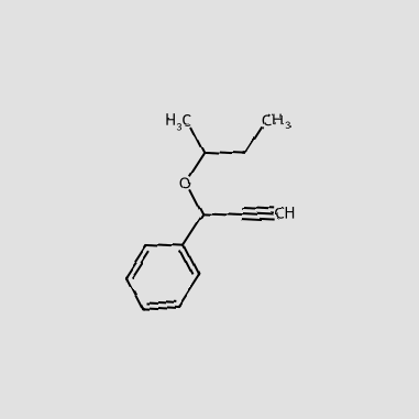 C#CC(OC(C)CC)c1ccccc1